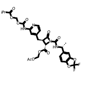 CC(=O)OCOC(=O)[C@@H]1[C@@H](Cc2ccnc(NC(=O)OCOC(=O)C(C)C)c2)C(=O)N1C(=O)N[C@H](C)c1ccc2c(c1)OC(F)(F)O2